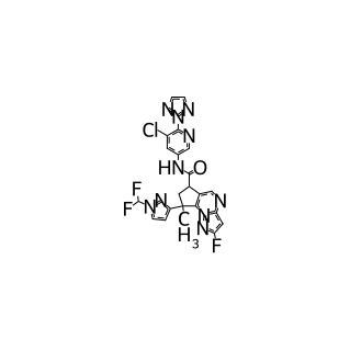 CC1(c2ccn(C(F)F)n2)CC(C(=O)Nc2cnc(-n3nccn3)c(Cl)c2)c2cnc3cc(F)nn3c21